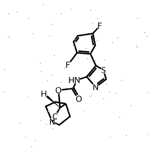 O=C(Nc1ncsc1-c1cc(F)ccc1F)O[C@H]1CN2CCC1CC2